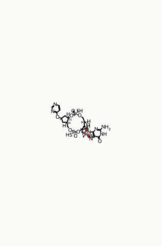 CC(C)(C)[Si](C)(C)O[C@H]1[C@H]2O[P@](=O)(S)OC[C@H]3C[C@@H](Oc4ccncn4)C[C@@H]3O[P@@](=O)(S)OC[C@H]1O[C@H]2n1cnc2c(=O)[nH]c(N)nc21